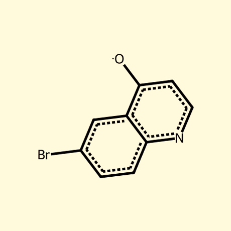 [O]c1ccnc2ccc(Br)cc12